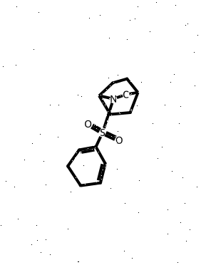 O=S(=O)(C1=CCCC=C1)N1CC2CCC1CC2